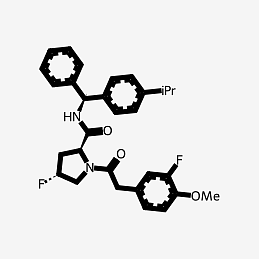 COc1ccc(CC(=O)N2C[C@H](F)C[C@H]2C(=O)N[C@@H](c2ccccc2)c2ccc(C(C)C)cc2)cc1F